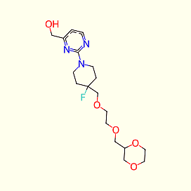 OCc1ccnc(N2CCC(F)(COCCOCC3COCCO3)CC2)n1